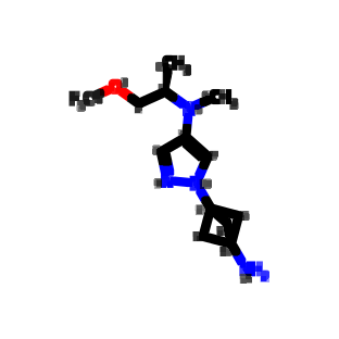 C[C@H](COC(F)(F)F)N(C)c1cnn(C23CC(N)(C2)C3)c1